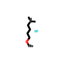 CCCCOCCCC[SiH](C)C.F